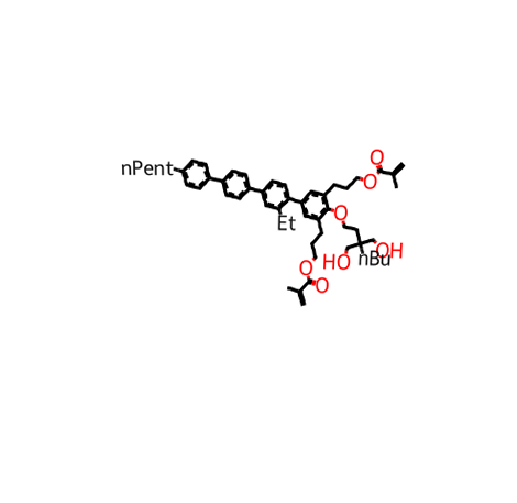 C=C(C)C(=O)OCCCc1cc(-c2ccc(-c3ccc(-c4ccc(CCCCC)cc4)cc3)cc2CC)cc(CCCOC(=O)C(=C)C)c1OCCC(CO)(CO)CCCC